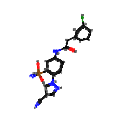 N#Cc1cnn(-c2ccc(NC(=O)Cc3cccc(F)c3)cc2S(N)(=O)=O)c1